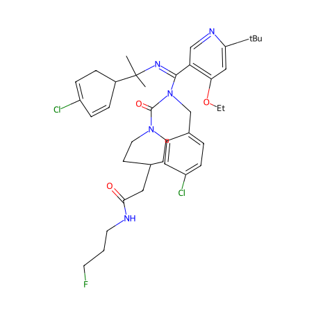 CCOc1cc(C(C)(C)C)ncc1/C(=N/C(C)(C)C1C=CC(Cl)=CC1)N(Cc1ccc(Cl)cc1)C(=O)N1CCC(CC(=O)NCCCF)CC1